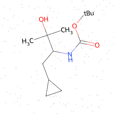 CC(C)(C)OC(=O)NC(CC1CC1)C(C)(C)O